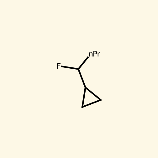 CCCC(F)C1CC1